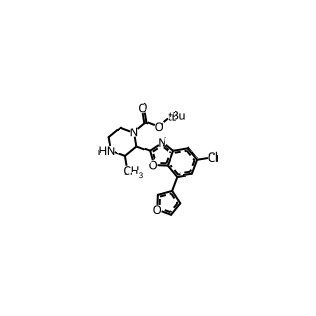 CC1NCCN(C(=O)OC(C)(C)C)C1c1nc2cc(Cl)cc(-c3ccoc3)c2o1